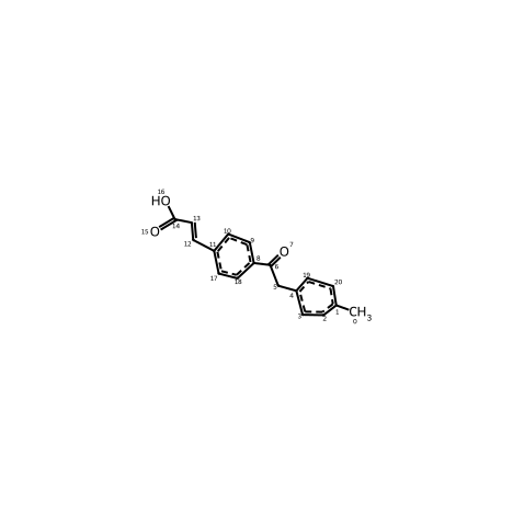 Cc1ccc(CC(=O)c2ccc(C=CC(=O)O)cc2)cc1